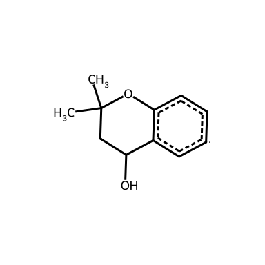 CC1(C)CC(O)c2c[c]ccc2O1